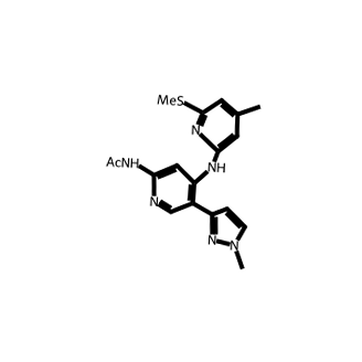 CSc1cc(C)cc(Nc2cc(NC(C)=O)ncc2-c2ccn(C)n2)n1